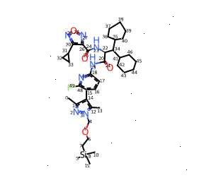 Cc1nn(COCC[Si](C)(C)C)c(C)c1-c1ccc(NC(=O)[C@@H](NC(=O)c2nonc2C2CC2)C(C2CCCCC2)C2CCCCC2)nc1F